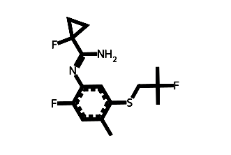 Cc1cc(F)c(/N=C(\N)C2(F)CC2)cc1SCC(C)(C)F